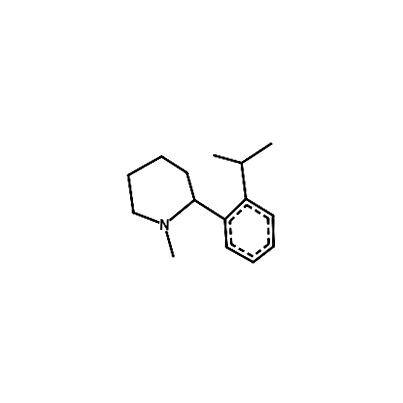 CC(C)c1ccccc1C1CCCCN1C